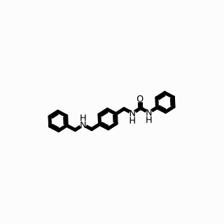 O=C(NCc1ccc(CNCc2ccccc2)cc1)Nc1ccccc1